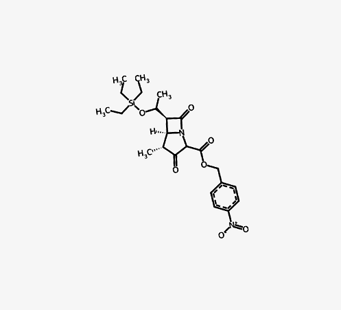 CC[Si](CC)(CC)OC(C)[C@H]1C(=O)N2C(C(=O)OCc3ccc([N+](=O)[O-])cc3)C(=O)[C@H](C)[C@@H]12